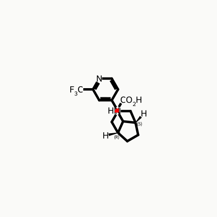 O=C(O)NC1[C@@H]2CC[C@H]1CN(c1ccnc(C(F)(F)F)c1)C2